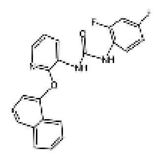 O=C(Nc1ccc(F)cc1F)Nc1cccnc1Oc1cccc2ccccc12